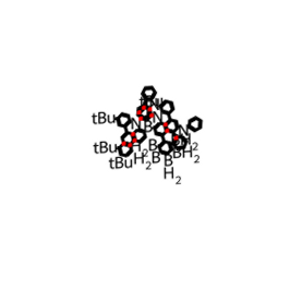 Bc1c(B)c(B)c(-c2ccc3c(c2)B2c4ccc(-c5cc(C(C)(C)C)cc(C(C)(C)C)c5)cc4N(c4ccc(C(C)(C)C)cc4-c4ccccc4)c4cc(C(C)(C)C)cc(c42)N3c2c(-c3ccc4c5ccccc5n(-c5ccccc5)c4c3)cccc2-n2c3ccccc3c3ccccc32)c(B)c1B